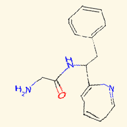 NCC(=O)NC(Cc1ccccc1)c1ccccn1